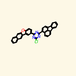 Clc1nc(-c2ccc3oc4cc5ccccc5cc4c3c2)nc(-c2ccc3c4c(cccc24)-c2ccccc2-3)n1